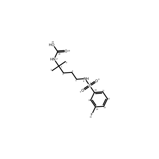 CC(C)(CCCNS(=O)(=O)c1cccc(F)c1)NC(=O)O